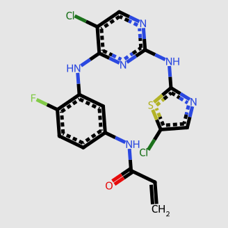 C=CC(=O)Nc1ccc(F)c(Nc2nc(Nc3ncc(Cl)s3)ncc2Cl)c1